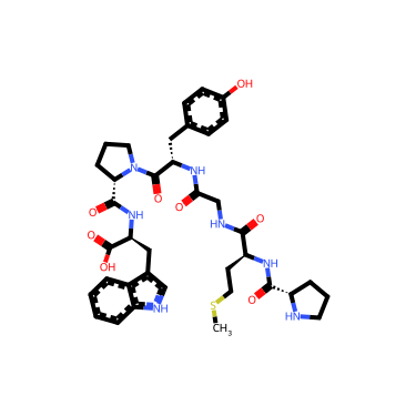 CSCC[C@H](NC(=O)[C@@H]1CCCN1)C(=O)NCC(=O)N[C@@H](Cc1ccc(O)cc1)C(=O)N1CCC[C@H]1C(=O)N[C@@H](Cc1c[nH]c2ccccc12)C(=O)O